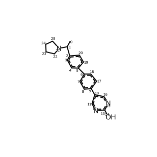 CC(c1ccc(-c2ccc(-c3cnc(O)nc3)cc2)cc1)N1CCCC1